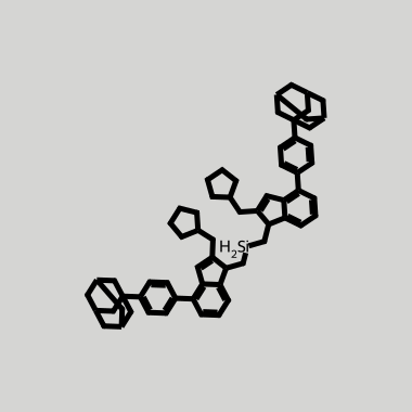 C1=C(CC2CCCC2)C(C[SiH2]CC2C(CC3CCCC3)=Cc3c(-c4ccc(C56CC7CC(CC(C7)C5)C6)cc4)cccc32)c2cccc(-c3ccc(C45CC6CC(CC(C6)C4)C5)cc3)c21